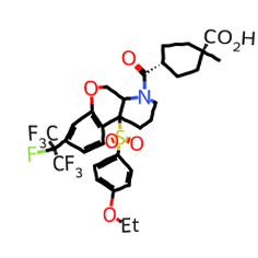 CCOc1ccc(S(=O)(=O)C23CCCN(C(=O)[C@H]4CC[C@](C)(C(=O)O)CC4)C2COc2cc(C(F)(C(F)(F)F)C(F)(F)F)ccc23)cc1